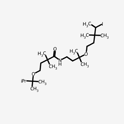 CC(I)C(C)(C)CCOC(C)(C)CCNC(=O)C(C)(C)CCOC(C)(C)C(C)C